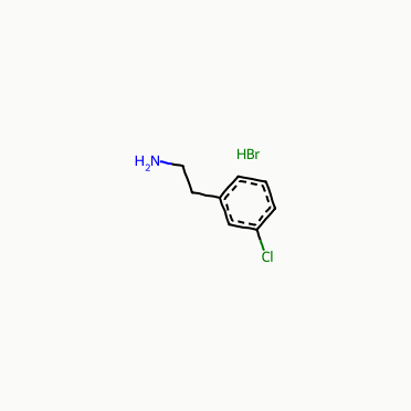 Br.NCCc1cccc(Cl)c1